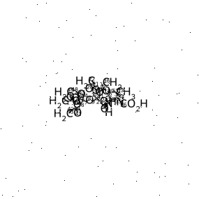 C=CC(=O)OCC(COCC(COC(=O)C=C)(COC(=O)C=C)COC(=O)NC1CCCC(C)(CNC(=O)O)C1)(COC(=O)C=C)COC(=O)C=C